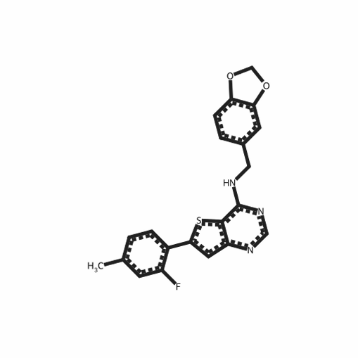 Cc1ccc(-c2cc3ncnc(NCc4ccc5c(c4)OCO5)c3s2)c(F)c1